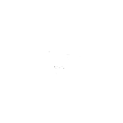 CN[SH](=O)=O.Cl.Cl